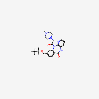 CN1CCN(CC(=O)N2c3cc(CO[Si](C)(C)C(C)(C)C)ccc3C(=O)Nc3cccnc32)CC1